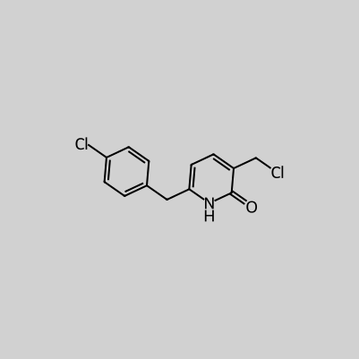 O=c1[nH]c(Cc2ccc(Cl)cc2)ccc1CCl